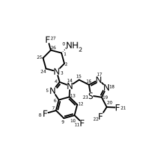 N[C@@H]1CN(c2nc3c(F)cc(F)cc3n2Cc2nnc(C(F)F)s2)CCC1F